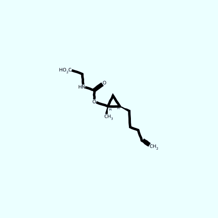 C=CCCC[C@@H]1C[C@@]1(C)OC(=O)NCC(=O)O